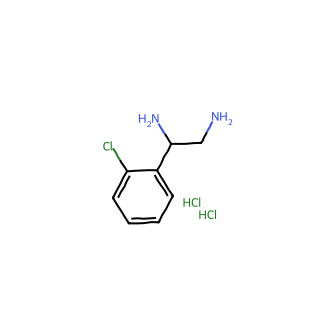 Cl.Cl.NCC(N)c1ccccc1Cl